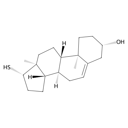 C[C@]12CC[C@H]3[C@@H](CC=C4C[C@@H](O)CC[C@@]43C)[C@@H]1CC[C@@H]2S